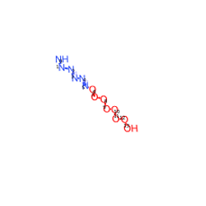 N=N/N=N/N=N/OOOOOOOO